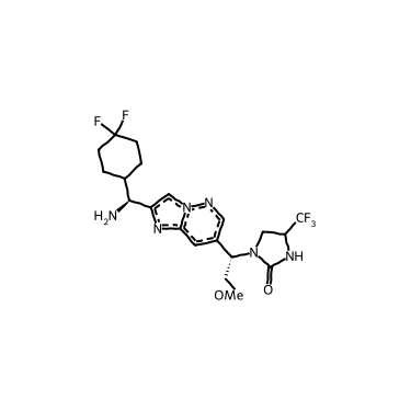 COC[C@H](c1cnn2cc([C@@H](N)C3CCC(F)(F)CC3)nc2c1)N1CC(C(F)(F)F)NC1=O